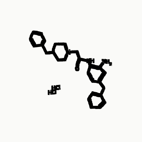 Cl.Cl.Nc1cc(Cc2ccccc2)ccc1NC(=O)CN1CCC(Cc2ccccc2)CC1